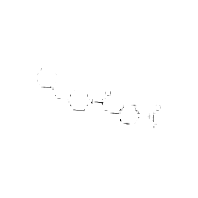 O=C(Oc1ccc([N+](=O)[O-])cc1)N1CCC(CN2CCCCC2)CC1